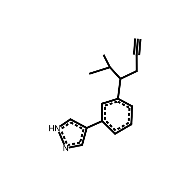 C#CCC(c1cccc(-c2cn[nH]c2)c1)C(C)C